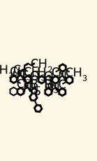 C=C/C=C\C(C)=C(/C)N(c1cc2c3c(c1)N(c1ccc4c(c1)CCCC4)c1c(sc4cc(-c5ccccc5)ccc14)B3c1cc3c(cc1O2)Oc1cc(N(c2ccccc2C)c2c(C)cccc2C)cc2c1B3c1ccccc1N2c1ccccc1)c1c(C)cccc1C